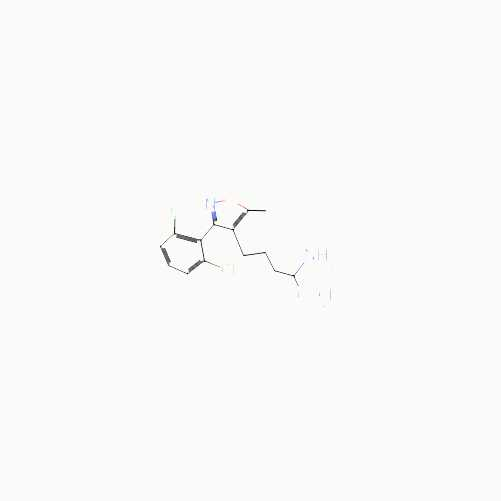 Cc1onc(-c2c(Cl)cccc2Cl)c1[CH]CCC(N)C(=O)O